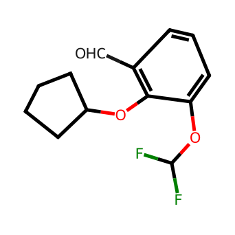 O=Cc1cccc(OC(F)F)c1OC1CCCC1